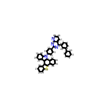 c1ccc(-c2cccc(-c3nc(-c4ccc(-n5c6ccccc6c6c7c8ccccc8sc7c7ccccc7c65)cc4)nc4ncccc34)c2)cc1